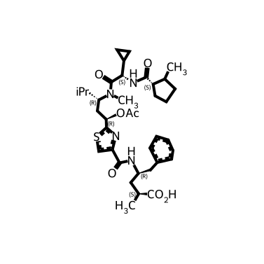 CC(=O)O[C@H](C[C@H](C(C)C)N(C)C(=O)[C@@H](NC(=O)[C@H]1CCCC1C)C1CC1)c1nc(C(=O)N[C@@H](Cc2ccccc2)C[C@H](C)C(=O)O)cs1